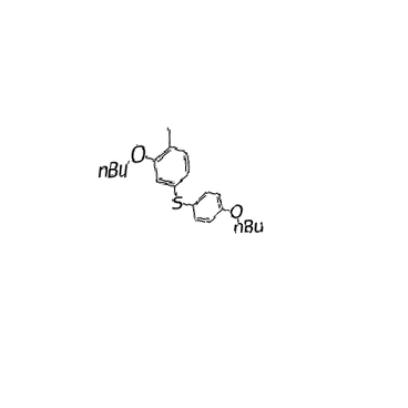 CCCCOc1ccc(Sc2ccc(C)c(OCCCC)c2)cc1